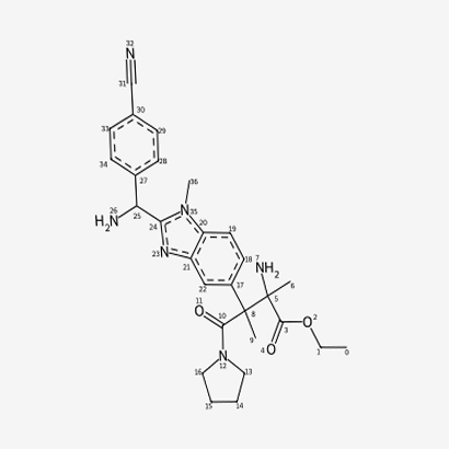 CCOC(=O)C(C)(N)C(C)(C(=O)N1CCCC1)c1ccc2c(c1)nc(C(N)c1ccc(C#N)cc1)n2C